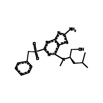 CC(C)C[C@H](CO)N(C)c1nc(S(=O)(=O)Cc2ccccc2)nc2nc(N)sc12